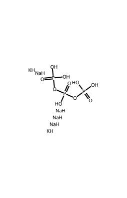 O=P(O)(O)OP(=O)(O)OP(=O)(O)O.[KH].[KH].[NaH].[NaH].[NaH].[NaH]